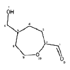 O=CC1CCC(CO)CCO1